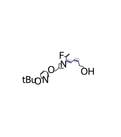 C=C(F)/C(=C\C=C/CCO)N1CC(COc2ccc(OC(C)(C)C)nc2)C1